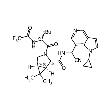 CC(C)(C)[C@H](NC(=O)C(F)(F)F)C(=O)N1C[C@H]2[C@@H]([C@H]1C(=O)NC(C#N)c1cncc3ccn(C4CC4)c13)C2(C)C